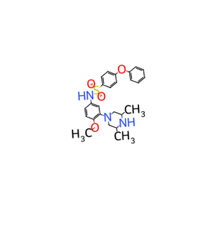 COc1ccc(NS(=O)(=O)c2ccc(Oc3ccccc3)cc2)cc1N1CC(C)NC(C)C1